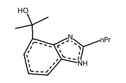 CCCc1nc2c(C(C)(C)O)cccc2[nH]1